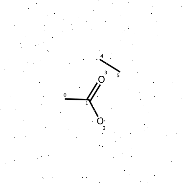 CC([O])=O.[CH2]C